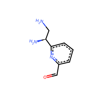 NC[C@H](N)c1cccc(C=O)n1